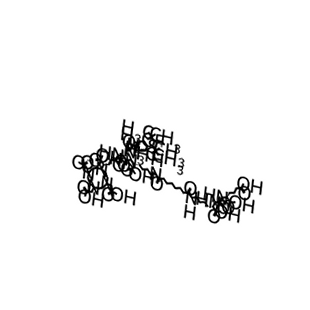 CC(C)(C)[C@H](F)[S+](c1ccc(C(=O)NC[C@@H](NC(=O)CC[C@H](C(=O)O)N2CCN(CC(=O)[O-])CCN(CC(=O)O)CCN(CC(=O)O)CC2)C(=O)N[C@H](CCCCNC(=O)CCCCCCC(=O)NCCCC[C@H](NC(=O)N[C@@H](CCCC(=O)O)C(=O)O)C(=O)O)C(=O)O)cc1)C(C)(C)C